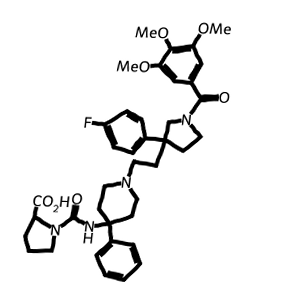 COc1cc(C(=O)N2CCC(CCN3CCC(NC(=O)N4CCCC4C(=O)O)(c4ccccc4)CC3)(c3ccc(F)cc3)C2)cc(OC)c1OC